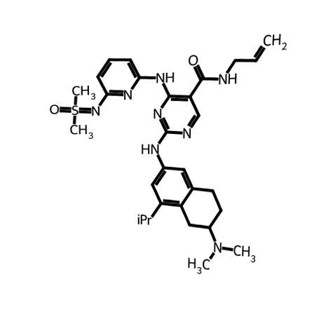 C=CCNC(=O)c1cnc(Nc2cc3c(c(C(C)C)c2)CC(N(C)C)CC3)nc1Nc1cccc(N=S(C)(C)=O)n1